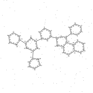 c1ccc(-c2cc(-c3cccc(-c4nc(-c5ccccn5)nc(-c5ccccn5)n4)c3)nc3ccc4ccccc4c23)cc1